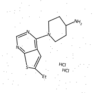 CCc1cc2c(N3CCC(N)CC3)ncnc2s1.Cl.Cl